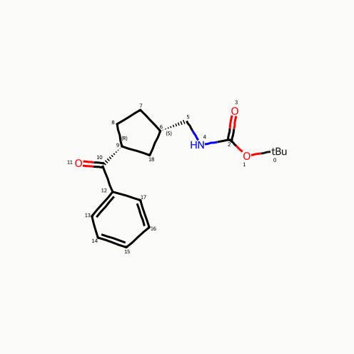 CC(C)(C)OC(=O)NC[C@H]1CC[C@@H](C(=O)c2ccccc2)C1